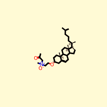 CC(=O)C[N+](C)([O-])CCO[C@H]1CC[C@@]2(C)C(=CCC3C2CC[C@@]2(C)C3CC[C@@H]2[C@H](C)CCCC(C)C)C1